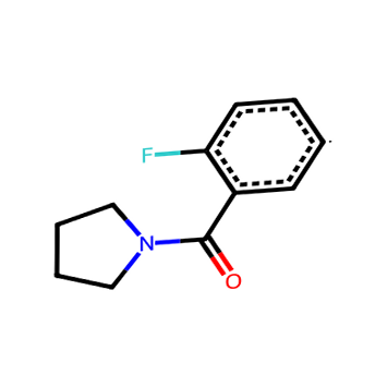 O=C(c1c[c]ccc1F)N1CCCC1